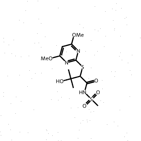 COc1cc(OC)nc(SC(C(=O)NS(C)(=O)=O)C(C)(C)O)n1